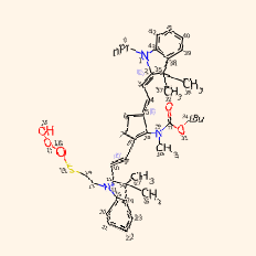 CCCN1/C(=C/C=C2\CCC(/C=C/C3=[N+](CCSOOO)c4ccccc4C3(C)C)=C2N(C)C(=O)OC(C)(C)C)C(C)(C)c2ccccc21